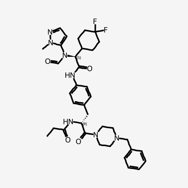 CCC(=O)N[C@H](Cc1ccc(NC(=O)[C@H](C2CCC(F)(F)CC2)N(C=O)c2ccnn2C)cc1)C(=O)N1CCN(Cc2ccccc2)CC1